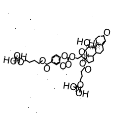 COc1cc(C(=O)OCCCCON(O)O)ccc1OC(=O)OCC(=O)[C@@]1(OC(=O)CCCON(O)O)CCC2C3CCC4=CC(=O)CC[C@]4(C)[C@H]3[C@@H](O)C[C@@]21C